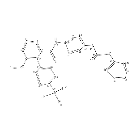 COc1cccc(C(=O)Nc2ccc(NC(=O)Cc3ccccn3)cc2)c1-c1ccc(C(F)(F)F)cc1